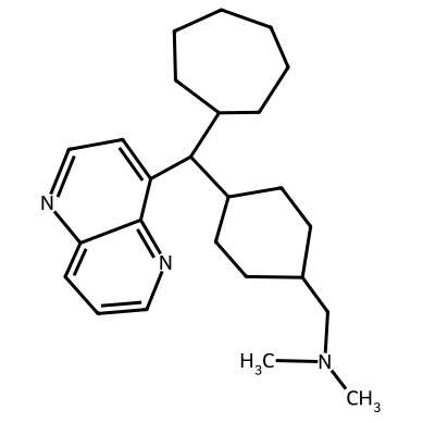 CN(C)CC1CCC(C(c2ccnc3cccnc23)C2CCCCCC2)CC1